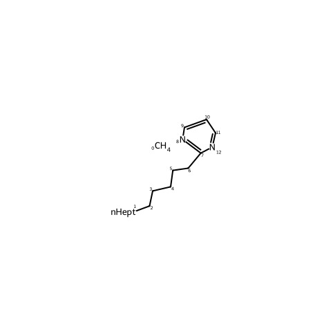 C.CCCCCCCCCCCCc1ncccn1